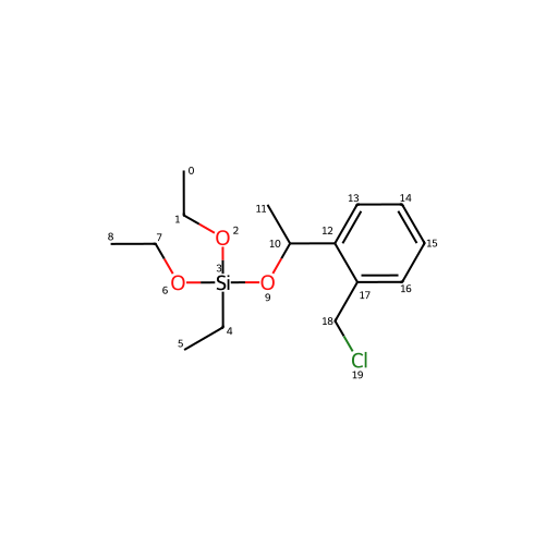 CCO[Si](CC)(OCC)OC(C)c1ccccc1CCl